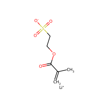 C=C(C)C(=O)OCCS(=O)(=O)[O-].[Li+]